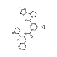 Cc1csc(C2CCCN2C(=O)c2cc(C(=O)N[C@@H](Cc3ccccc3)[C@H](O)C3CCCN3)cc(C3CC3)c2)n1